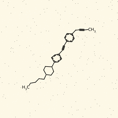 CC#CCc1ccc(C#Cc2ccc(C3CCC(CCCCC)CC3)cc2)cc1